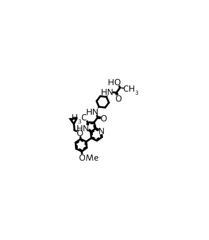 COc1ccc(OCC2CC2)c(-c2ccnc3c(C(=O)N[C@H]4CC[C@@H](NC(=O)[C@H](C)O)CC4)c(C)[nH]c23)c1